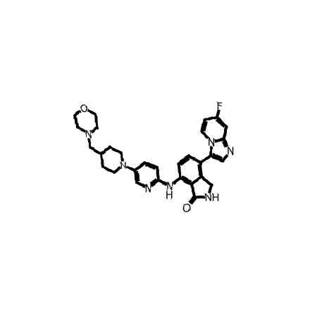 O=C1NCc2c(-c3cnc4cc(F)ccn34)ccc(Nc3ccc(N4CCC(CN5CCOCC5)CC4)cn3)c21